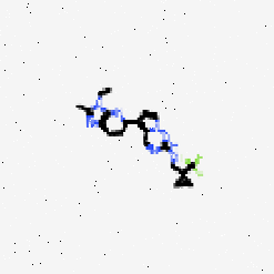 CCn1c(C)nc2ccc(-c3ccn4nc(NCC5(C(F)(F)F)CC5)ncc34)nc21